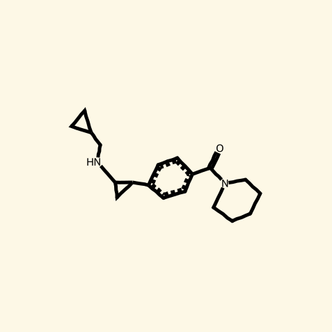 O=C(c1ccc(C2CC2NCC2CC2)cc1)N1CCCCC1